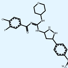 COc1ccc(C2CC(N/C(=N\C(=O)c3ccc(Cl)c(F)c3)NC3CCOCC3)NN2)cc1